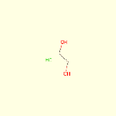 Cl.OCCO